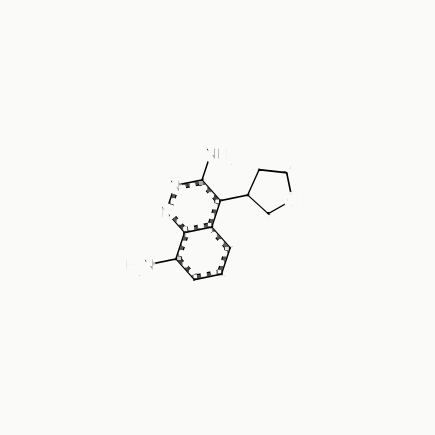 Nc1nnc2c(N)cccc2c1C1CCOC1